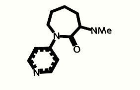 CNC1CCCCN(c2ccncc2)C1=O